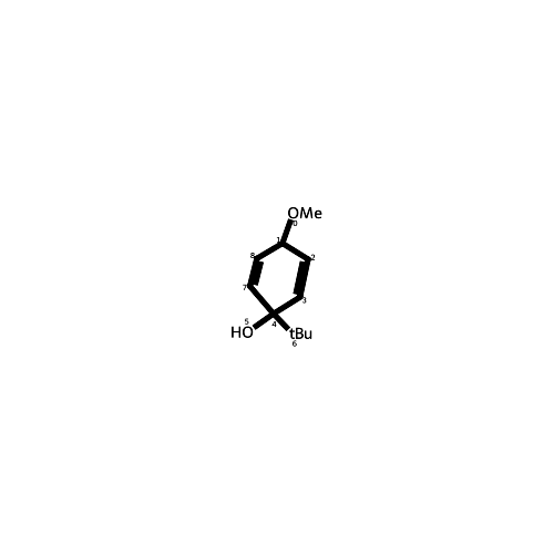 COC1C=CC(O)(C(C)(C)C)C=C1